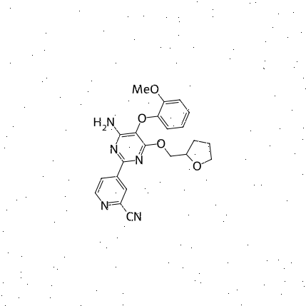 COc1ccccc1Oc1c(N)nc(-c2ccnc(C#N)c2)nc1OCC1CCCO1